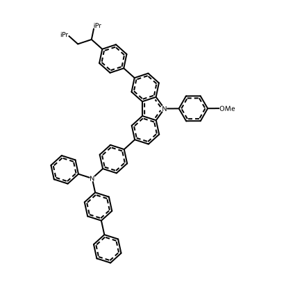 COc1ccc(-n2c3ccc(-c4ccc(C(CC(C)C)C(C)C)cc4)cc3c3cc(-c4ccc(N(c5ccccc5)c5ccc(-c6ccccc6)cc5)cc4)ccc32)cc1